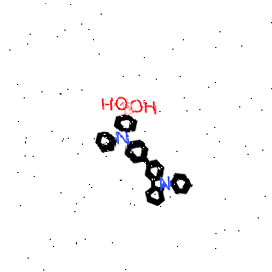 OB(O)c1ccc(N(c2ccccc2)c2ccc(-c3ccc4c(c3)c3ccccc3n4-c3ccccc3)cc2)cc1